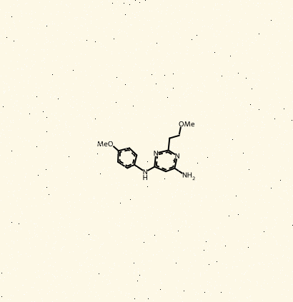 COCCc1nc(N)cc(Nc2ccc(OC)cc2)n1